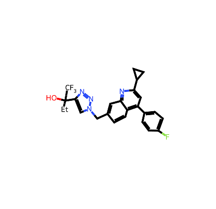 CCC(O)(c1cn(Cc2ccc3c(-c4ccc(F)cc4)cc(C4CC4)nc3c2)nn1)C(F)(F)F